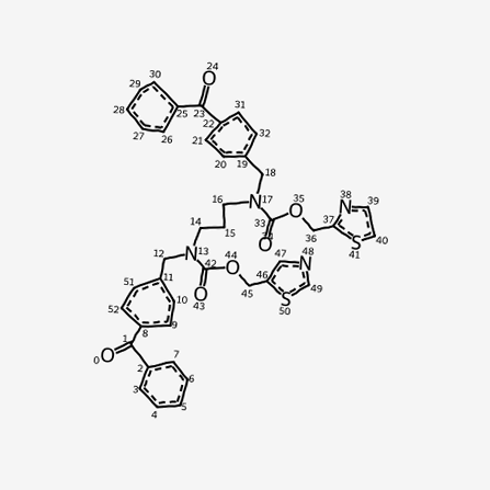 O=C(c1ccccc1)c1ccc(CN(CCCN(Cc2ccc(C(=O)c3ccccc3)cc2)C(=O)OCc2nccs2)C(=O)OCc2cncs2)cc1